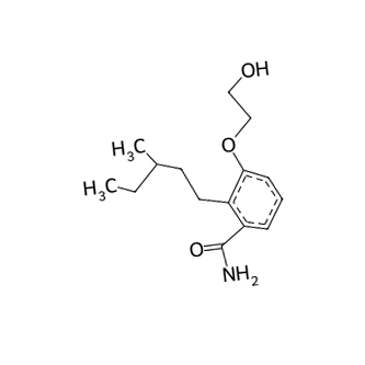 CCC(C)CCc1c(OCCO)cccc1C(N)=O